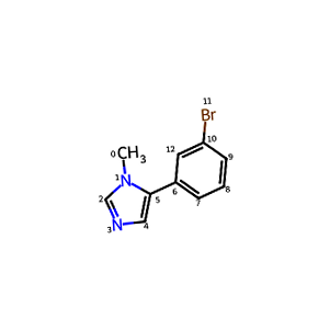 Cn1cncc1-c1cccc(Br)c1